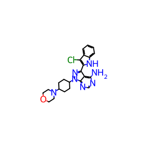 Nc1ncnc2c1c(-c1[nH]c3ccccc3c1Cl)nn2C1CCC(N2CCOCC2)CC1